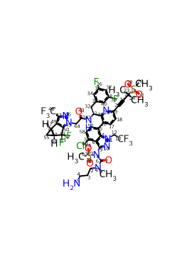 CN(CCCN)C(=O)N(c1nn(CC(F)(F)F)c2c(-c3ccc(C#CC(C)(C)S(C)(=O)=O)nc3[C@H](Cc3cc(F)cc(F)c3)NC(=O)Cn3nc(C(F)(F)F)c4c3C(F)(F)[C@@H]3C[C@H]43)ccc(Cl)c12)S(C)(=O)=O